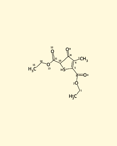 CCOC(=O)C1=C(C)C(=O)C(C(=O)OCC)S1